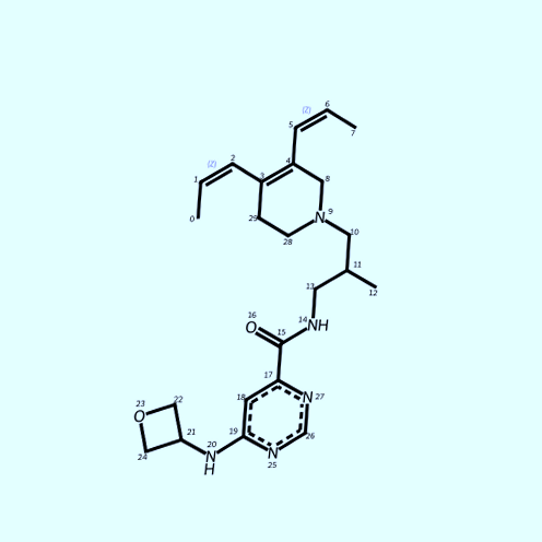 C/C=C\C1=C(/C=C\C)CN(CC(C)CNC(=O)c2cc(NC3COC3)ncn2)CC1